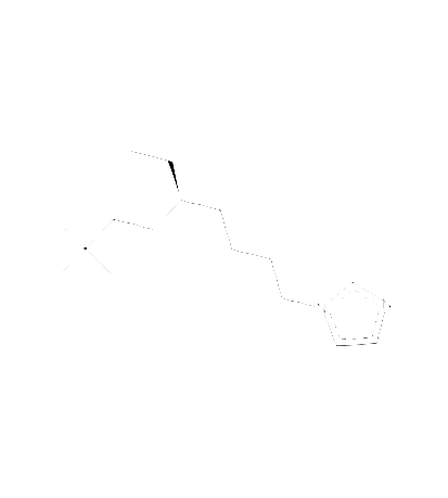 CC[C@@H](CCCCn1ccnc1)CCC(C)(C)C